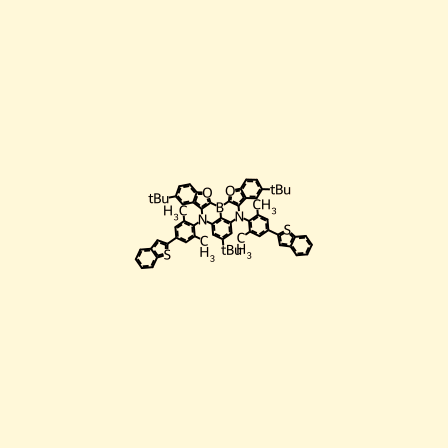 Cc1cc(-c2cc3ccccc3s2)cc(C)c1N1c2cc(C(C)(C)C)cc3c2B(c2oc4ccc(C(C)(C)C)cc4c21)c1oc2ccc(C(C)(C)C)cc2c1N3c1c(C)cc(-c2cc3ccccc3s2)cc1C